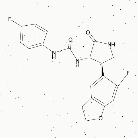 O=C(Nc1ccc(F)cc1)N[C@@H]1C(=O)NC[C@H]1c1cc2c(cc1F)OCC2